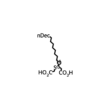 CCCCCCCCCCCCCCCCCCO[SH](CC(=O)O)SCC(=O)O